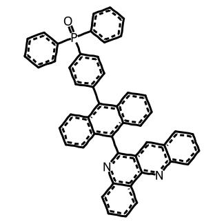 O=P(c1ccccc1)(c1ccccc1)c1ccc(-c2c3ccccc3c(-c3nc4ccccc4c4nc5ccccc5cc34)c3ccccc23)cc1